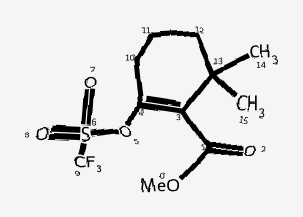 COC(=O)C1=C(OS(=O)(=O)C(F)(F)F)CCCC1(C)C